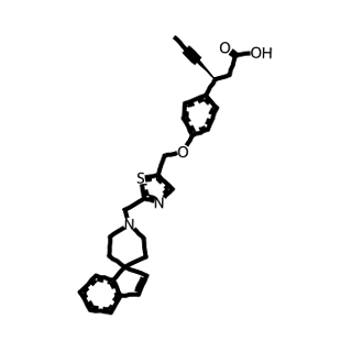 CC#C[C@@H](CC(=O)O)c1ccc(OCc2cnc(CN3CCC4(C=Cc5ccccc54)CC3)s2)cc1